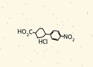 Cl.O=C(O)C1CCC(c2ccc([N+](=O)[O-])cc2)CC1